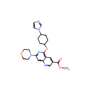 COC(=O)c1cnc2cc(N3CCOCC3)nc(OC3CCC(n4ccnc4)CC3)c2c1